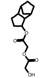 O=C(CO)OCC(=O)OC1CCC2C3CCC(C3)C12